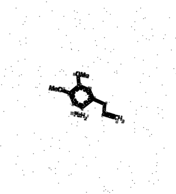 C=CCc1ccc(OC)c(OC)c1.[PbH2]